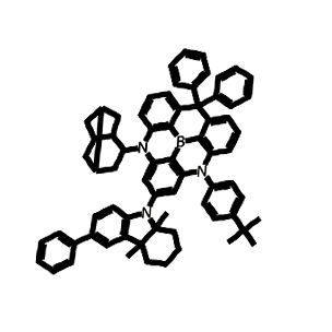 CC(C)(C)c1ccc(N2c3cc(N4c5ccc(-c6ccccc6)cc5C5(C)CCCCC45C)cc4c3B3c5c2cccc5C(c2ccccc2)(c2ccccc2)c2cccc(c23)N4C2CC3CC4CC3CC42)cc1